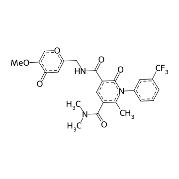 COc1coc(CNC(=O)c2cc(C(=O)N(C)C)c(C)n(-c3cccc(C(F)(F)F)c3)c2=O)cc1=O